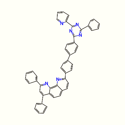 c1ccc(-c2cc(-c3ccccc3)c3ccc4ccc(-c5ccc(-c6ccc(-c7nc(-c8ccccc8)nc(-c8ccccn8)n7)cc6)cc5)nc4c3n2)cc1